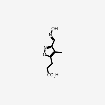 Cc1c(C=NO)noc1CCC(=O)O